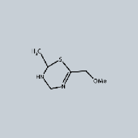 COCC1=NCNC(C)S1